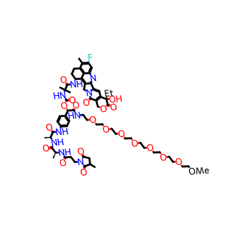 CC[C@@]1(O)C(=O)OCc2c1cc1n(c2=O)Cc2c-1nc1cc(F)c(C)c3c1c2[C@@H](NC(=O)C(C)(C)NC(=O)OC(C(=O)NCCOCCOCCOCCOCCOCCOCCOCCOC)c1ccc(NC(=O)[C@H](C)NC(=O)[C@H](C)NC(=O)CCN2C(=O)CC(C)C2=O)cc1)CC3